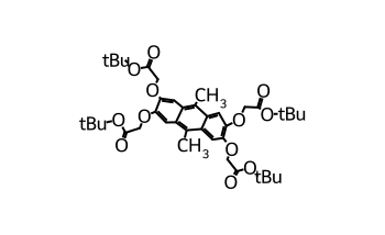 Cc1c2cc(OCC(=O)OC(C)(C)C)c(OCC(=O)OC(C)(C)C)cc2c(C)c2cc(OCC(=O)OC(C)(C)C)c(OCC(=O)OC(C)(C)C)cc12